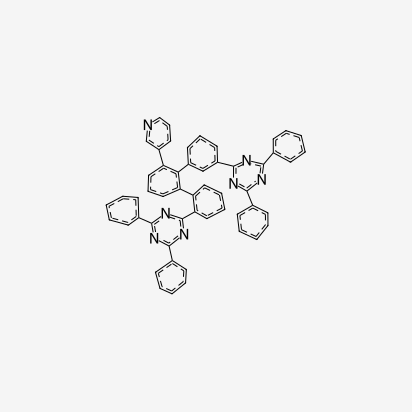 c1ccc(-c2nc(-c3ccccc3)nc(-c3cccc(-c4c(-c5cccnc5)cccc4-c4ccccc4-c4nc(-c5ccccc5)nc(-c5ccccc5)n4)c3)n2)cc1